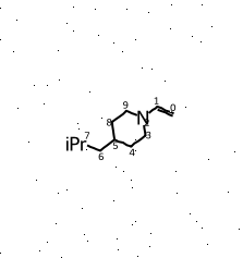 C=CN1CCC(CC(C)C)CC1